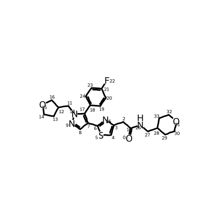 O=C(Cc1csc(-c2cnn(CC3CCOC3)c2-c2ccc(F)cc2)n1)NCC1CCOCC1